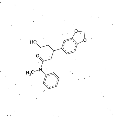 CN(C(=O)CC(CCO)c1ccc2c(c1)OCO2)c1ccccc1